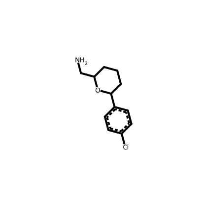 NCC1CCCC(c2ccc(Cl)cc2)O1